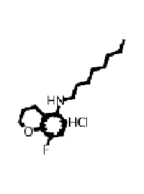 CCCCCCCCNc1ccc(F)c2c1CCCO2.Cl